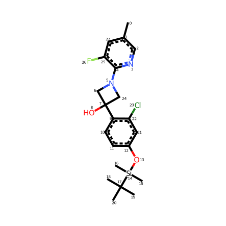 Cc1cnc(N2CC(O)(c3ccc(O[Si](C)(C)C(C)(C)C)cc3Cl)C2)c(F)c1